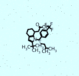 CC(C)CC[C@@H](c1ccc(C(F)(F)F)cc1)n1c(C(C)(C)C)cc2c1C(CC(=O)O)CCC2